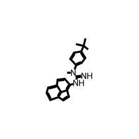 CN(C(=N)Nc1ccc2cccc3c2c1C=C3)c1ccc(C(C)(C)C)cc1